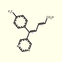 O=C(O)/C=C/C=C(\c1ccc(C(F)(F)F)cc1)c1cncnc1